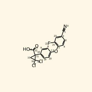 N#Cc1ccc(Oc2ccc(C3(C(=O)O)CC3(Cl)Cl)cc2)c(F)c1